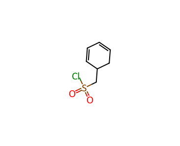 O=S(=O)(Cl)CC1C=CC=CC1